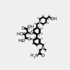 CN(CC(N)=O)Cc1cccc(-c2ccc(CN3CCC(CO)CC3)cc2)c1.O=C(O)C(O)C(O)C(=O)O